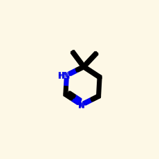 CC1(C)CCN=CN1